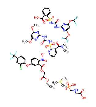 CCOC(=O)COC(=O)c1cc(Oc2ccc(C(F)(F)F)cc2Cl)ccc1[N+](=O)[O-].COc1cc(OC)nc(NC(=O)NS(=O)(=O)c2ncccc2C(=O)N(C)C)n1.C[S+](C)C.O=C(Nc1nc(OC(F)F)cc(OC(F)F)n1)NS(=O)(=O)c1ccccc1C(=O)O.O=C(O)CNCP(=O)([O-])O